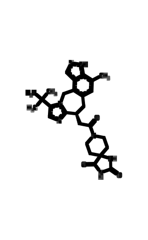 Cc1cc2c(c3cn[nH]c13)Cn1c(C(C)(C)N)cnc1[C@H](CC(=O)N1CCC3(CC1)NC(=O)NC3=O)C2